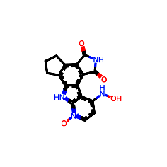 O=C1NC(=O)c2c1c1c(c3[nH]c4c(c(NO)cc[n+]4[O-])c23)CCC1